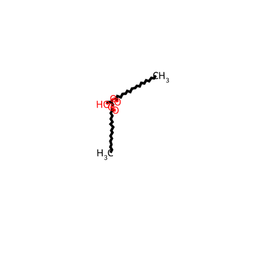 CCCCCCCCCCCCCCCCCC(=O)OC(CO)COC(=O)CCCCCCCCCCCCCCC